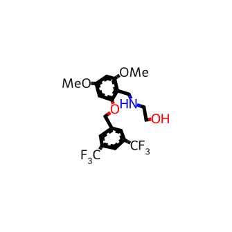 COc1cc(OC)c(CNCCO)c(OCc2cc(C(F)(F)F)cc(C(F)(F)F)c2)c1